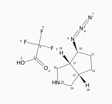 O=C(O)C(F)(F)F.[N-]=[N+]=N[C@H]1CC[C@@H]2CNC[C@@H]21